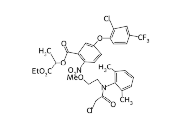 CCOC(=O)C(C)OC(=O)c1cc(Oc2ccc(C(F)(F)F)cc2Cl)ccc1[N+](=O)[O-].COCCN(C(=O)CCl)c1c(C)cccc1C